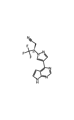 N#CC[C@@H](n1cc(-c2ncnc3[nH]ccc23)cn1)C(F)(F)F